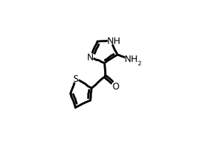 Nc1[nH]cnc1C(=O)c1cccs1